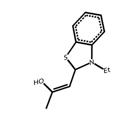 CCN1c2ccccc2SC1C=C(C)O